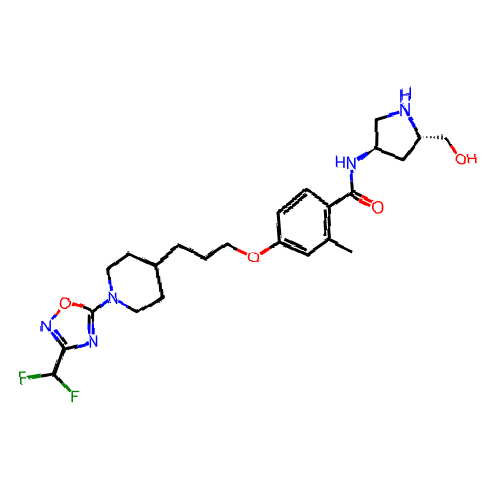 Cc1cc(OCCCC2CCN(c3nc(C(F)F)no3)CC2)ccc1C(=O)N[C@H]1CN[C@H](CO)C1